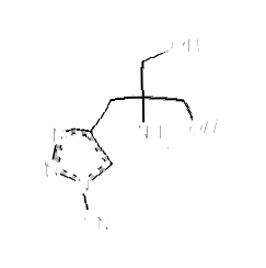 N#Cn1cc(CC(N)(CO)CO)nn1